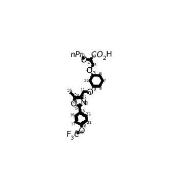 CCCOC(CO[C@@H]1CCC[C@H](OCc2nc(-c3ccc(OC(F)(F)F)cc3)oc2C)C1)C(=O)O